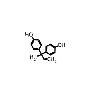 C=CC(P)(c1ccc(O)cc1)c1ccc(O)cc1